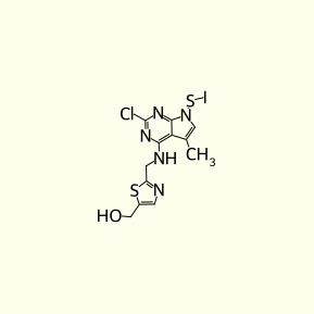 Cc1cn(SI)c2nc(Cl)nc(NCc3ncc(CO)s3)c12